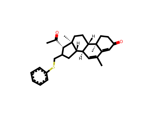 CC(=O)[C@H]1C(CSc2ccccc2)C[C@H]2[C@@H]3C=C(C)C4=CC(=O)CC[C@]4(C)[C@H]3CC[C@]12C